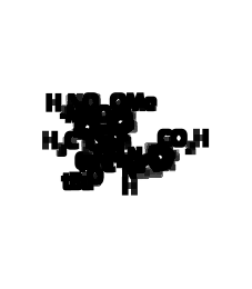 COc1ccc(CN(C(=O)[C@H](Cc2c(C)cc(C(N)=O)cc2C)NC(=O)OC(C)(C)C)[C@@H](C)c2nc(-c3cccc(C(=O)O)c3)c[nH]2)cc1OC